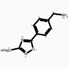 CCCCCCCc1noc(-c2ccc(CN)cc2)n1